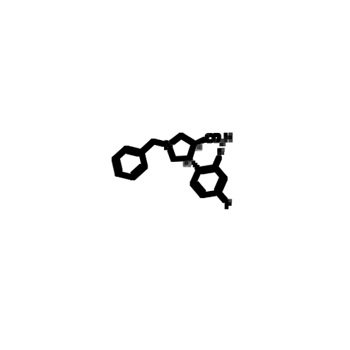 O=C(O)[C@@H]1CN(Cc2ccccc2)C[C@H]1c1ccc(F)cc1F